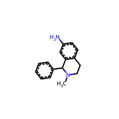 CN1CCc2ccc(N)cc2C1c1ccccc1